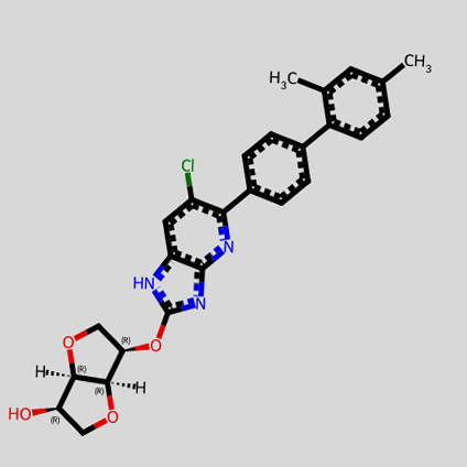 Cc1ccc(-c2ccc(-c3nc4nc(O[C@@H]5CO[C@H]6[C@@H]5OC[C@H]6O)[nH]c4cc3Cl)cc2)c(C)c1